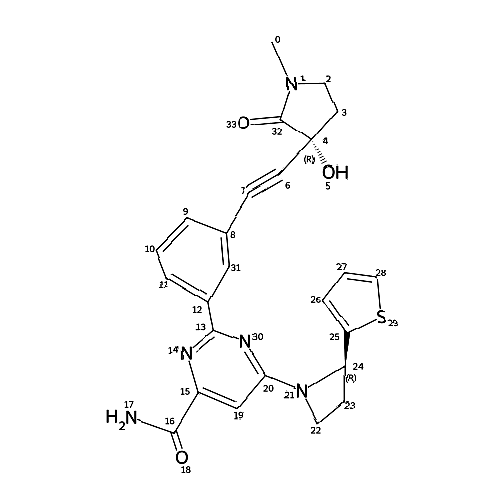 CN1CC[C@@](O)(C#Cc2cccc(-c3nc(C(N)=O)cc(N4CC[C@@H]4c4cccs4)n3)c2)C1=O